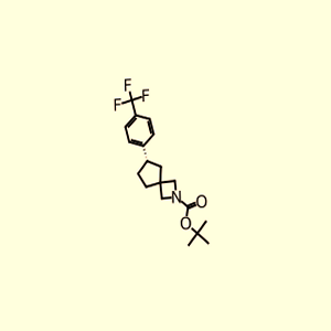 CC(C)(C)OC(=O)N1CC2(CC[C@H](c3ccc(C(F)(F)F)cc3)C2)C1